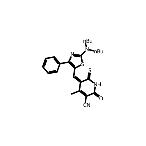 CCCCN(CCCC)c1nc(-c2ccccc2)c(/C=C2\C(=S)NC(=O)C(C#N)=C2C)s1